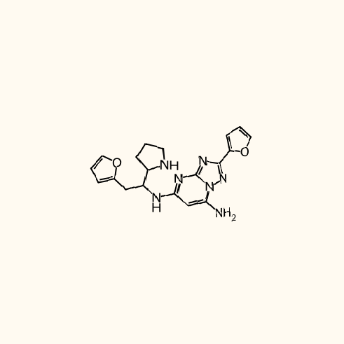 Nc1cc(NC(Cc2ccco2)C2CCCN2)nc2nc(-c3ccco3)nn12